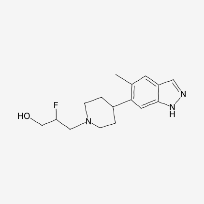 Cc1cc2cn[nH]c2cc1C1CCN(CC(F)CO)CC1